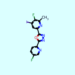 Cc1nc(-c2nnc(-c3ccc(F)cn3)o2)cc(I)c1F